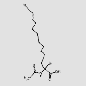 CC(=O)NC(S)(CCCCCCCCCCS)C(=O)O